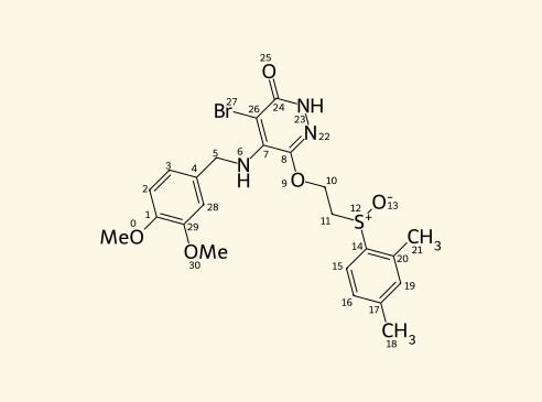 COc1ccc(CNc2c(OCC[S+]([O-])c3ccc(C)cc3C)n[nH]c(=O)c2Br)cc1OC